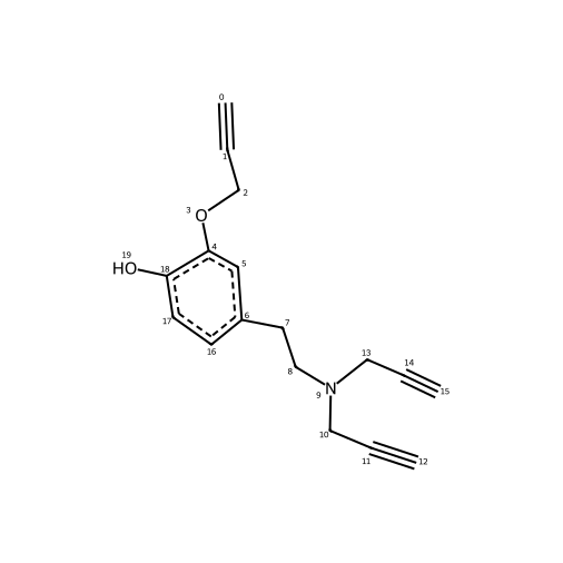 C#CCOc1cc(CCN(CC#C)CC#C)ccc1O